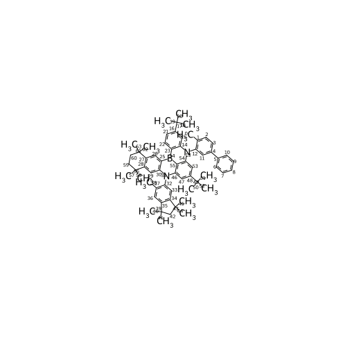 Cc1ccc(-c2ccccc2)cc1N1c2cc(C(C)(C)C)ccc2B2c3cc4c(cc3N(c3cc5c(cc3C)C(C)(C)CC5(C)C)c3cc(C(C)(C)C)cc1c32)C(C)(C)CCC4(C)C